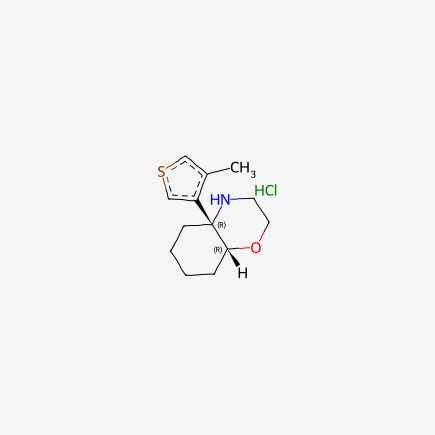 Cc1cscc1[C@]12CCCC[C@H]1OCCN2.Cl